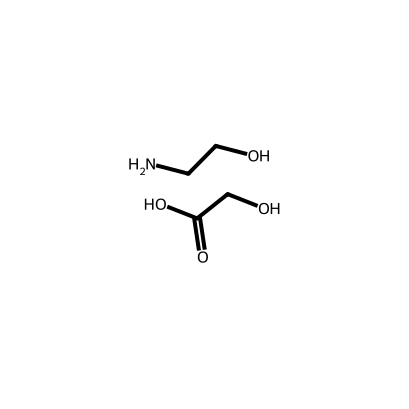 NCCO.O=C(O)CO